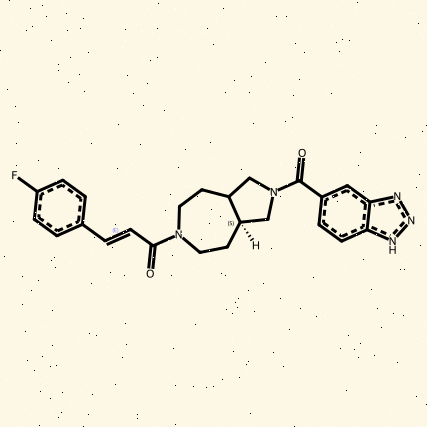 O=C(/C=C/c1ccc(F)cc1)N1CCC2CN(C(=O)c3ccc4[nH]nnc4c3)C[C@H]2CC1